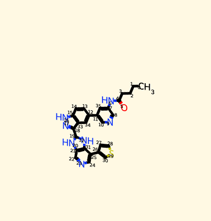 CCCCC(=O)Nc1cncc(-c2ccc3[nH]nc(C4Nc5cncc(-c6ccsc6)c5N4)c3c2)c1